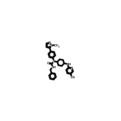 Cn1nccc1-c1ccc(N(C(=O)NCc2ccccc2)C2CCC(Nc3ccc(C#N)cn3)CC2)cc1